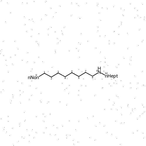 CCCCCCCCCCCCCCCCCNCCCCCCC